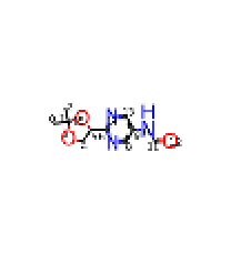 CC1(C)OCC(c2ncc(NC=O)cn2)O1